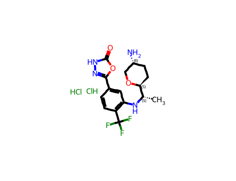 C[C@H](Nc1cc(-c2n[nH]c(=O)o2)ccc1C(F)(F)F)[C@@H]1CC[C@@H](N)CO1.Cl.Cl